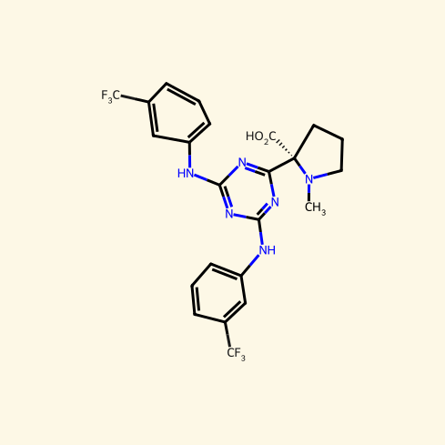 CN1CCC[C@]1(C(=O)O)c1nc(Nc2cccc(C(F)(F)F)c2)nc(Nc2cccc(C(F)(F)F)c2)n1